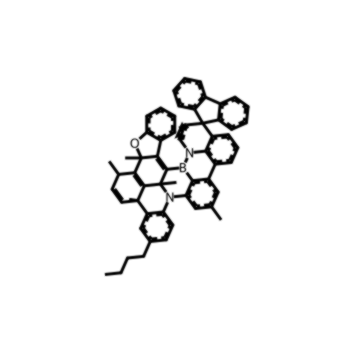 CCCCc1ccc2c(c1)C1(C)C=CC(C)C3=C1C1(C)C(=C4c5ccccc5OC43C)B3c4c(cc(C)cc4N21)-c1cccc2c1N3c1ccccc1C21c2ccccc2-c2ccccc21